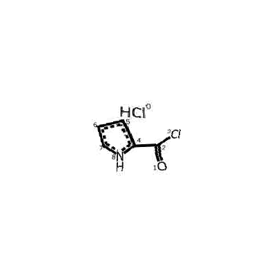 Cl.O=C(Cl)c1ccc[nH]1